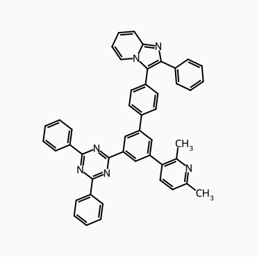 Cc1ccc(-c2cc(-c3ccc(-c4c(-c5ccccc5)nc5ccccn45)cc3)cc(-c3nc(-c4ccccc4)nc(-c4ccccc4)n3)c2)c(C)n1